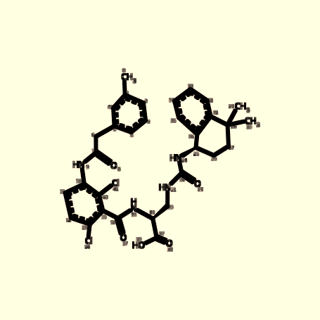 Cc1cccc(CC(=O)Nc2ccc(Cl)c(C(=O)N[C@@H](CNC(=O)N[C@@H]3CCC(C)(C)c4ccccc43)C(=O)O)c2Cl)c1